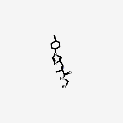 C/C(=C\c1cn(C2CCC(C)CC2)cn1)C(=O)NCC(C)C